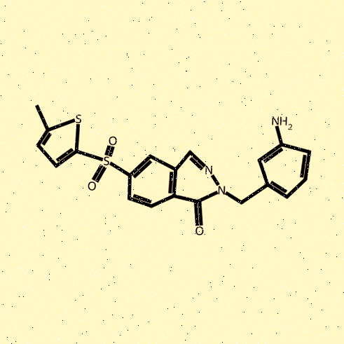 Cc1ccc(S(=O)(=O)c2ccc3c(=O)n(Cc4cccc(N)c4)ncc3c2)s1